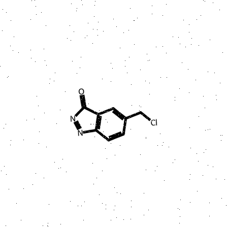 O=C1N=Nc2ccc(CCl)cc21